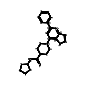 O=C(NC1CCCC1)C1CCN(c2cc(-c3ccccc3)nc3ccsc23)CC1